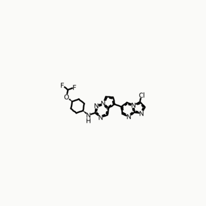 FC(F)O[C@H]1CC[C@@H](Nc2ncc3c(-c4cnc5ncc(Cl)n5c4)ccn3n2)CC1